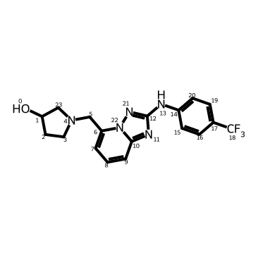 OC1CCN(Cc2cccc3nc(Nc4ccc(C(F)(F)F)cc4)nn23)C1